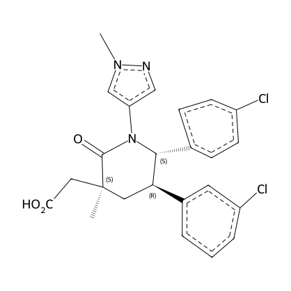 Cn1cc(N2C(=O)[C@](C)(CC(=O)O)C[C@H](c3cccc(Cl)c3)[C@H]2c2ccc(Cl)cc2)cn1